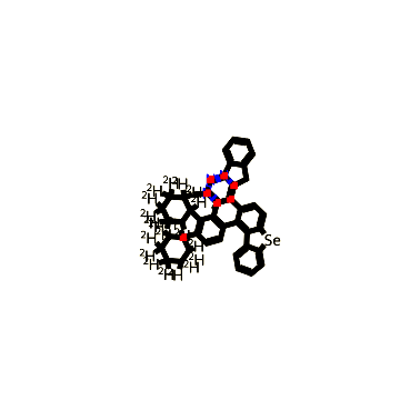 [2H]C1C([2H])([2H])C([2H])([2H])C([2H])([2H])C([2H])([2H])C1([2H])c1ccc(-c2c(-c3c(C)c(C)cc4c3Cc3ccccc3-4)ccc3[se]c4ccccc4c23)c(-c2ccnnn2)c1C1([2H])C([2H])C([2H])([2H])C([2H])([2H])C([2H])([2H])C1([2H])[2H]